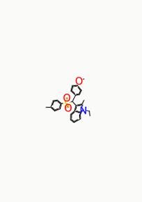 CCn1c(C)c(C(c2ccc(OC)cc2)S(=O)(=O)c2ccc(C)cc2)c2ccccc21